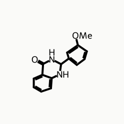 COc1cccc(C2NC(=O)c3ccccc3N2)c1